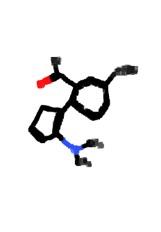 CCC(=O)c1cc(C(C)(C)C)ccc1C1=C(N(C)C)C=CC1